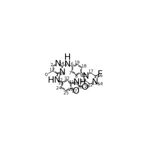 Cc1cnc(Nc2ccc(N3CCN(C)C(F)C3)cc2)nc1Nc1ccc2oc(=O)[nH]c2c1